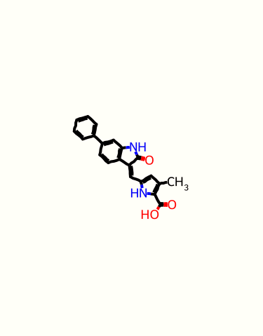 Cc1cc(C=C2C(=O)Nc3cc(-c4ccccc4)ccc32)[nH]c1C(=O)O